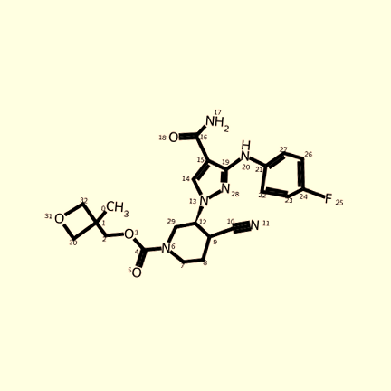 CC1(COC(=O)N2CCC(C#N)[C@H](n3cc(C(N)=O)c(Nc4ccc(F)cc4)n3)C2)COC1